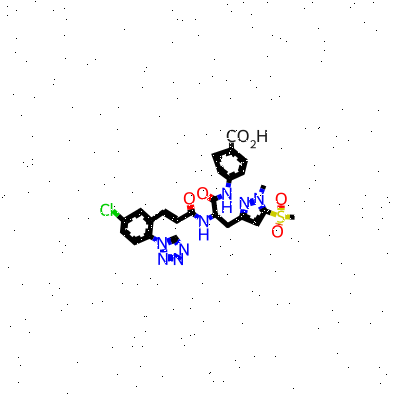 Cn1nc(CC(NC(=O)C=Cc2cc(Cl)ccc2-n2cnnn2)C(=O)Nc2ccc(C(=O)O)cc2)cc1S(C)(=O)=O